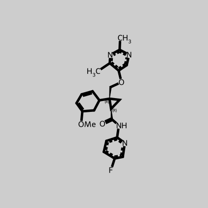 COC1=CC=CC([C@]2(COc3cnc(C)nc3C)C[C@H]2C(=O)Nc2ccc(F)cn2)C1